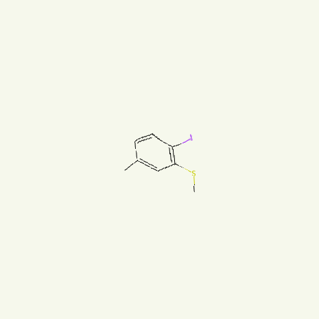 CSc1cc(C)ccc1I